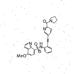 COc1ccc(S(=O)(=O)Nc2ccccc2C#Cc2ccc(C(=O)N3CCCC3)nc2)c2ncccc12